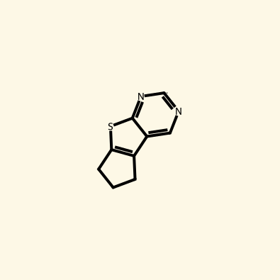 [c]1ncc2c3c(sc2n1)CCC3